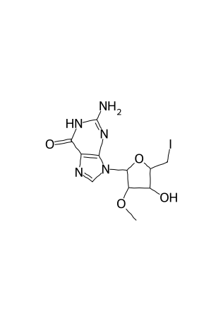 COC1C(O)C(CI)OC1n1cnc2c(=O)[nH]c(N)nc21